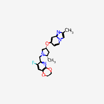 Cc1cn2ccc(O[C@@H]3C[C@H](C)N(Cc4nc5c(cc4F)OCCO5)C3)cc2n1